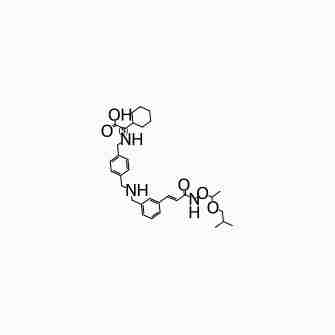 CC(C)COC(C)ONC(=O)C=Cc1cccc(CNCc2ccc(CN[C@H](C(=O)O)C3CCCCC3)cc2)c1